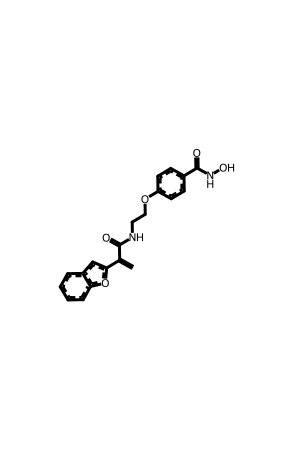 C=C(C(=O)NCCOc1ccc(C(=O)NO)cc1)c1cc2ccccc2o1